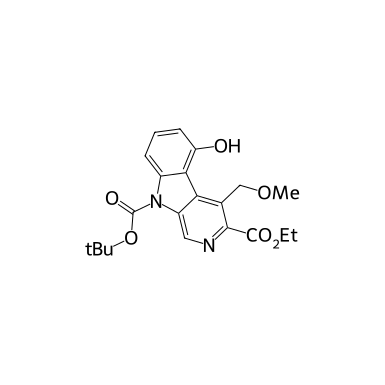 CCOC(=O)c1ncc2c(c1COC)c1c(O)cccc1n2C(=O)OC(C)(C)C